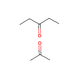 CC(C)=O.CCC(=O)CC